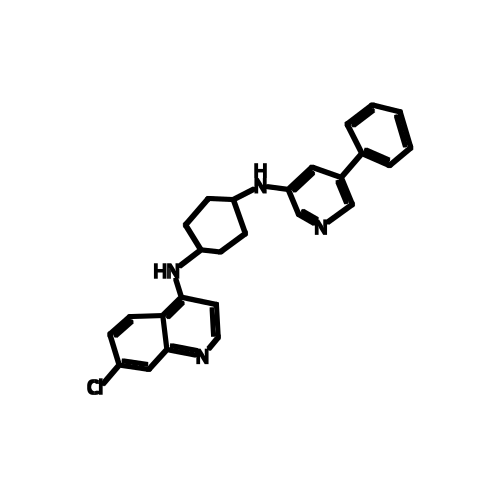 Clc1ccc2c(NC3CCC(Nc4cncc(-c5ccccc5)c4)CC3)ccnc2c1